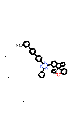 N#Cc1cccc(-c2ccc(-c3ccc(-c4nc(-c5ccccc5)nc(-c5ccc6c(c5)C5(c7ccccc7Oc7ccccc75)c5ccccc5-6)n4)cc3)cc2)c1